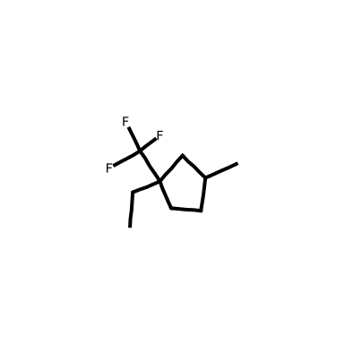 CCC1(C(F)(F)F)CCC(C)C1